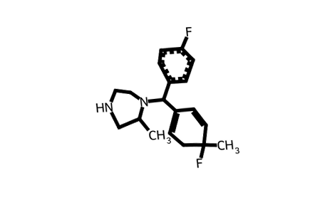 CC1CNCCN1C(C1=CCC(C)(F)C=C1)c1ccc(F)cc1